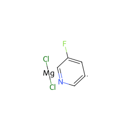 Fc1c[c]cnc1.[Cl][Mg][Cl]